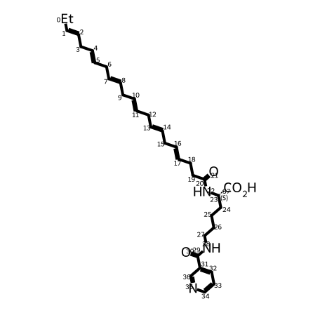 CCC=CCC=CCC=CCC=CCC=CCC=CCCC(=O)N[C@@H](CCCCNC(=O)c1cccnc1)C(=O)O